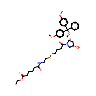 CCOC(=O)CCCCC(=O)NCCSSCCCC(=O)N1C[C@H](O)C[C@H]1COC(c1ccccc1)(c1ccc(OC)cc1)c1ccc(OC)cc1